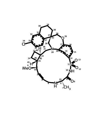 CO[C@@H]1C=CCN[C@@H](C)C(=O)NS(=O)(=O)c2ccc3c(c2)N(C[C@@H]2CC[C@H]21)C[C@@]1(CCCc2cc(Cl)ccc21)CO3